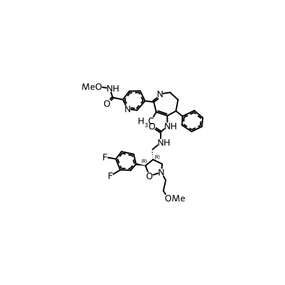 COCCN1C[C@@H](CNC(=O)NC2=C(C)C(c3ccc(C(=O)NOC)nc3)=NCCC2c2ccccc2)[C@H](c2ccc(F)c(F)c2)O1